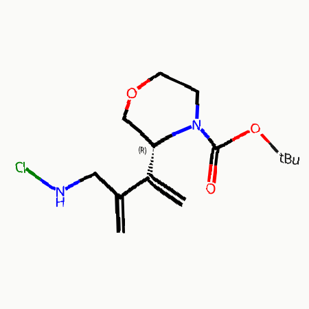 C=C(CNCl)C(=C)[C@@H]1COCCN1C(=O)OC(C)(C)C